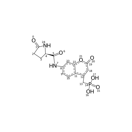 O=C1CC[C@H](C(=O)Nc2ccc3c(CP(=O)(O)O)cc(=O)oc3c2)N1